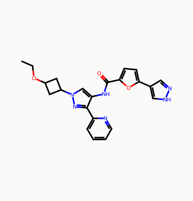 CCOC1CC(n2cc(NC(=O)c3ccc(-c4cn[nH]c4)o3)c(-c3ccccn3)n2)C1